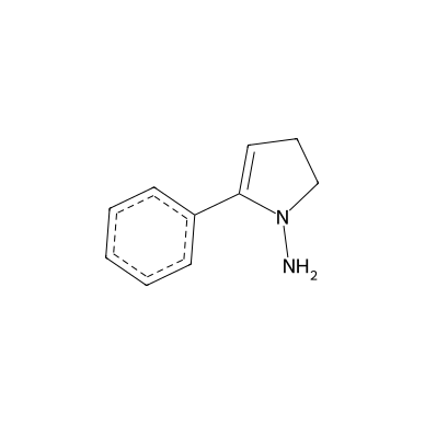 NN1CCC=C1c1ccccc1